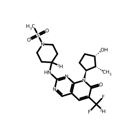 [2H]C1(Nc2ncc3cc(C([2H])(F)F)c(=O)n([C@H]4CC[C@H](O)[C@@H]4C)c3n2)CCN(S(C)(=O)=O)CC1